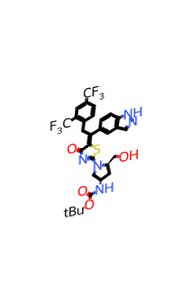 CC(C)(C)OC(=O)N[C@@H]1C[C@H](CO)N(C2=NC(=O)C(=C(Cc3ccc(C(F)(F)F)cc3C(F)(F)F)c3ccc4[nH]ncc4c3)S2)C1